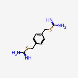 N=C(N)SCc1ccc(CSC(=N)N)cc1